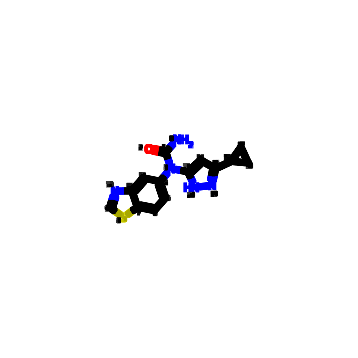 NC(=O)N(c1ccc2scnc2c1)c1cc(C2CC2)n[nH]1